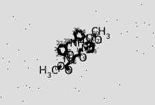 CCOC(=O)c1cc(C(=O)C[N+]23CCC(CC2)C(OC(C)=O)C3)on1.c1ccc(CNc2ccccc2)cc1